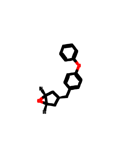 c1ccc(Oc2ccc(C[C@H]3C[C@@H]4O[C@@H]4C3)cc2)cc1